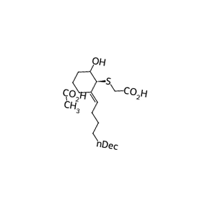 CC(=O)O.CCCCCCCCCCCCCC=C1CCCC(O)[C@H]1SCC(=O)O